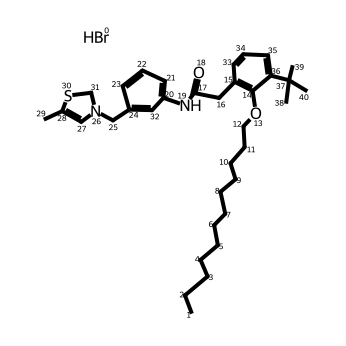 Br.CCCCCCCCCCCCOc1c(CC(=O)Nc2cccc(CN3C=C(C)SC3)c2)cccc1C(C)(C)C